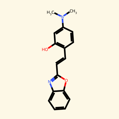 CN(C)c1ccc(C=Cc2nc3ccccc3o2)c(O)c1